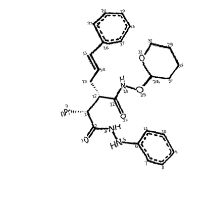 CCC[C@@H](C(=O)NNc1ccccc1)[C@H](CC=Cc1ccccc1)C(=O)NOC1CCCCO1